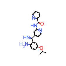 CC(C)Oc1ccc(N)c(C(=N)c2ccnc(NC(=O)c3ccccn3)c2)c1